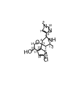 CC1CC2(CC(c3cn(C)cn3)N1)OCC(O)c1cc(Cl)sc12